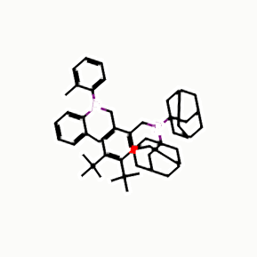 Cc1ccccc1P(Cc1cc(C(C)(C)C)c(C(C)(C)C)cc1CP(C12CC3CC(CC(C3)C1)C2)C12CC3CC(CC(C3)C1)C2)c1ccccc1C